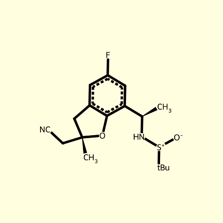 C[C@@H](N[S+]([O-])C(C)(C)C)c1cc(F)cc2c1O[C@](C)(CC#N)C2